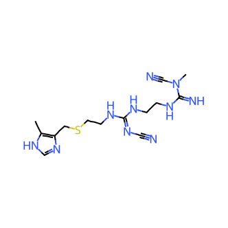 Cc1[nH]cnc1CSCCNC(=NC#N)NCCNC(=N)N(C)C#N